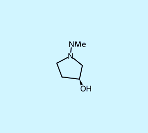 CNN1CC[C@H](O)C1